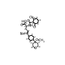 COC1(c2ccc(C=CCC(NC(=O)c3c(Cl)cccc3Cl)C(=O)O)cc2)CCOCC1.[NaH]